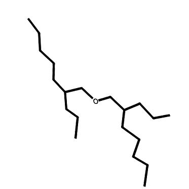 CCCCCC(CCC)COCC(CCC)CCCCC